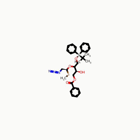 CS[C@@H](CN=[N+]=[N-])OC(CO[Si](c1ccccc1)(c1ccccc1)C(C)(C)C)[C@@H](O)COC(=O)c1ccccc1